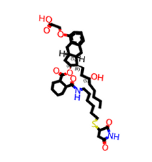 CCCCC[C@H](O)CC[C@@H]1[C@H]2Cc3cccc(OCC(=O)O)c3C[C@H]2C[C@H]1OC(=O)C1CCCCC1C(=O)NCCCCCCSC1CC(=O)NC1=O